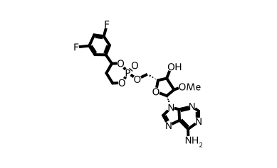 COC1C(O)[C@@H](COP2(=O)OCCC(c3cc(F)cc(F)c3)O2)O[C@H]1n1cnc2c(N)ncnc21